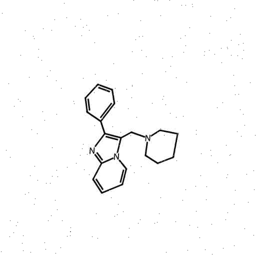 c1ccc(-c2nc3ccccn3c2CN2CCCCC2)cc1